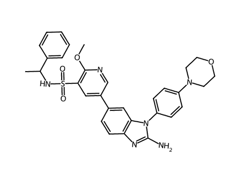 COc1ncc(-c2ccc3nc(N)n(-c4ccc(N5CCOCC5)cc4)c3c2)cc1S(=O)(=O)NC(C)c1ccccc1